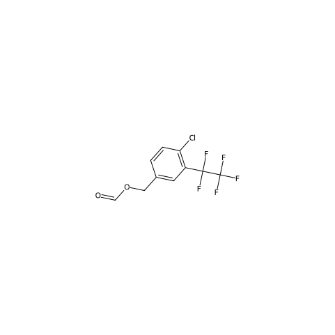 O=COCc1ccc(Cl)c(C(F)(F)C(F)(F)F)c1